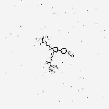 C=C(C)C(=O)OCCOc1ccc(-c2ccc(OC=O)cc2)cc1OCCOC(=O)C(=C)CC